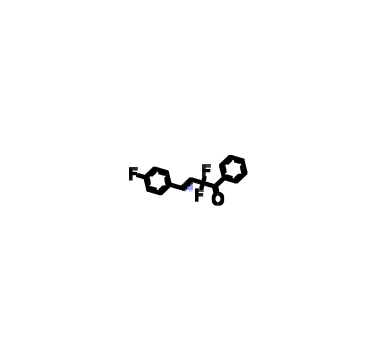 O=C(c1ccccc1)C(F)(F)/C=C/c1ccc(F)cc1